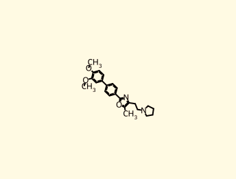 COc1ccc(-c2ccc(-c3nc(CCN4CCCC4)c(C)o3)cc2)cc1OC